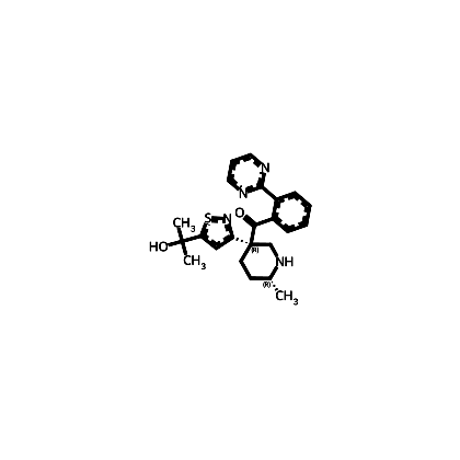 C[C@@H]1CC[C@](C(=O)c2ccccc2-c2ncccn2)(c2cc(C(C)(C)O)sn2)CN1